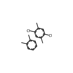 Cc1cc(Cl)c(C)cc1Cl.Cc1ccccc1C